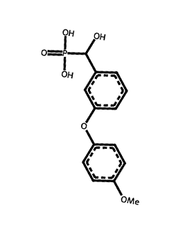 COc1ccc(Oc2cccc(C(O)P(=O)(O)O)c2)cc1